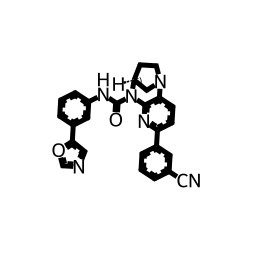 N#Cc1cccc(-c2ccc3c(n2)N(C(=O)Nc2cccc(-c4cnco4)c2)[C@H]2CCN3C2)c1